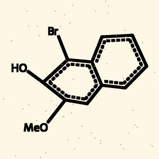 COc1cc2ccccc2c(Br)c1O